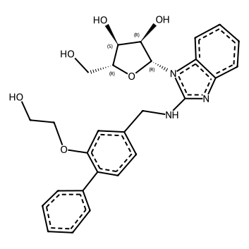 OCCOc1cc(CNc2nc3ccccc3n2[C@@H]2O[C@H](CO)[C@@H](O)[C@H]2O)ccc1-c1ccccc1